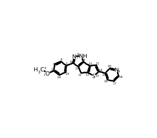 COc1ccc(-c2n[nH]c3c2Cc2sc(-c4cccnc4)cc2-3)cc1